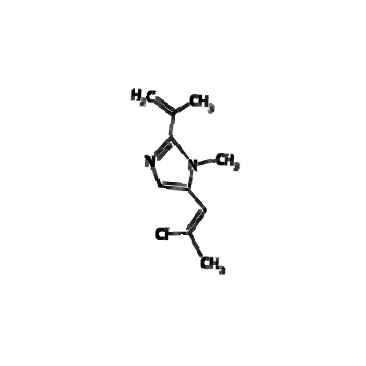 C=C(C)c1ncc(/C=C(/C)Cl)n1C